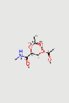 CNC(=O)C(COC(C)=O)OC(C)=O